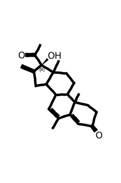 C=C1CC2C3C=C(C)C4=CC(=O)CCC4(C)C3CCC2(C)[C@@]1(O)C(C)=O